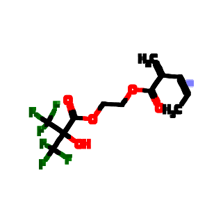 C=C(/C=C\C)C(=O)OCCOC(=O)C(O)(C(F)(F)F)C(F)(F)F